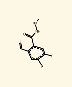 CNNC(=O)c1cc(F)c(F)cc1C=O